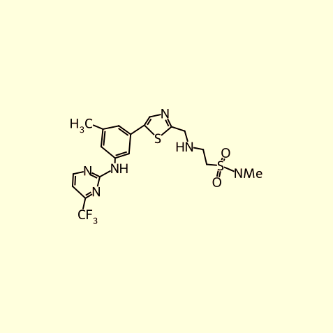 CNS(=O)(=O)CCNCc1ncc(-c2cc(C)cc(Nc3nccc(C(F)(F)F)n3)c2)s1